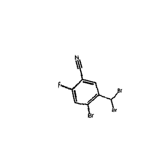 N#Cc1cc(C(Br)Br)c(Br)cc1F